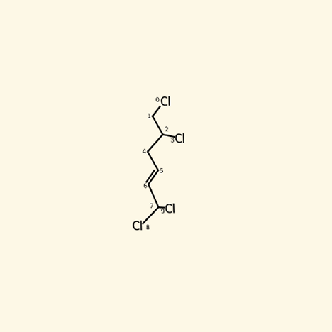 ClCC(Cl)CC=CC(Cl)Cl